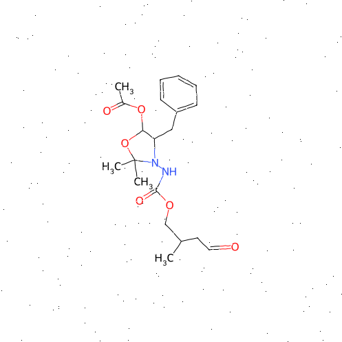 CC(=O)OC1OC(C)(C)N(NC(=O)OCC(C)CC=O)C1Cc1ccccc1